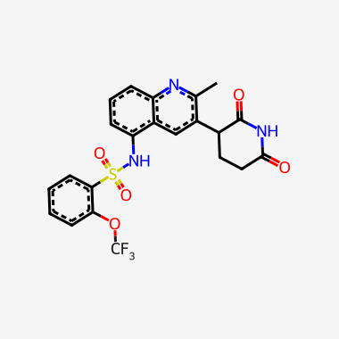 Cc1nc2cccc(NS(=O)(=O)c3ccccc3OC(F)(F)F)c2cc1C1CCC(=O)NC1=O